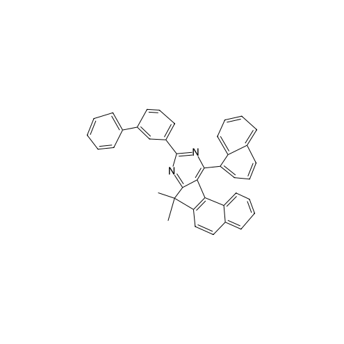 CC1(C)c2ccc3ccccc3c2-c2c(-c3cccc4ccccc34)nc(-c3cccc(-c4ccccc4)c3)nc21